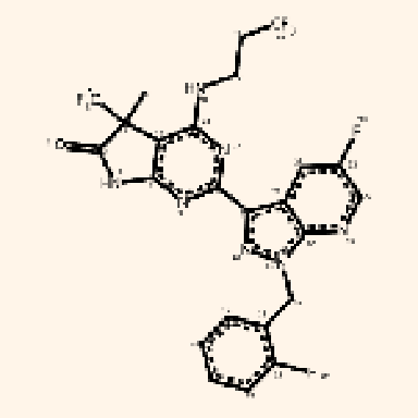 CC1(C(F)(F)F)C(=O)Nc2nc(-c3nn(Cc4ccccc4F)c4ncc(F)cc34)nc(NCCC(F)(F)F)c21